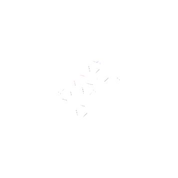 N#CC=CC(=O)c1ncc(Oc2ccccc2)c(C(=O)c2cccnc2)c1C(=O)c1ccncc1